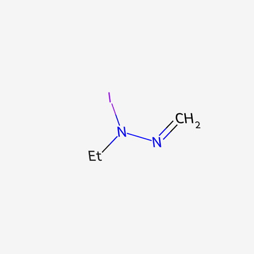 C=NN(I)CC